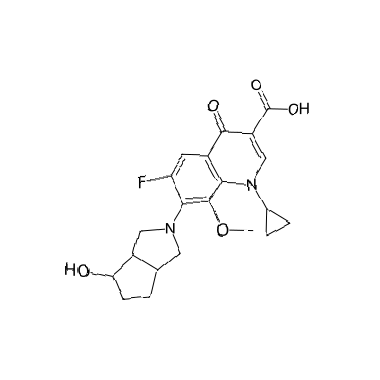 COc1c(N2CC3CCC(O)C3C2)c(F)cc2c(=O)c(C(=O)O)cn(C3CC3)c12